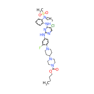 CCCCOC(=O)N1CCN(C2CCN(c3ccc(Nc4ncc(Cl)c(Nc5ccccc5N(C)S(C)(=O)=O)n4)cc3F)CC2)CC1